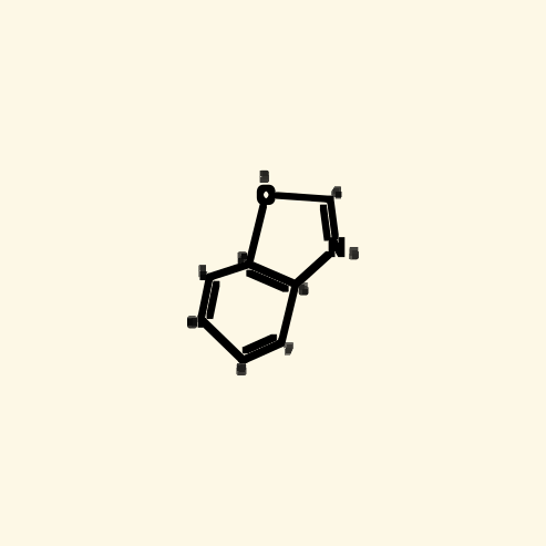 [c]1[c]c2ocnc2cc1